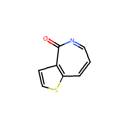 O=c1ncccc2sccc12